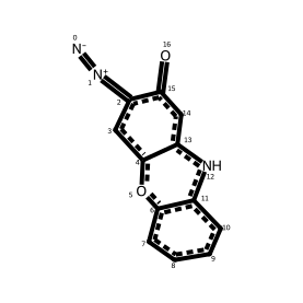 [N-]=[N+]=c1cc2oc3ccccc3[nH]c-2cc1=O